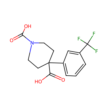 O=C(O)N1CCC(C(=O)O)(c2cccc(C(F)(F)F)c2)CC1